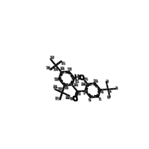 CC(C)(C)c1ccc(C(=O)c2ccc(C(C)(C)C)cc2C(C)(C)C)c(O)c1